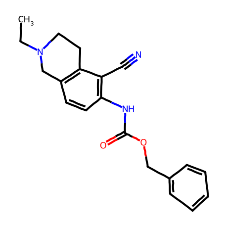 CCN1CCc2c(ccc(NC(=O)OCc3ccccc3)c2C#N)C1